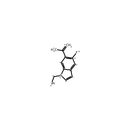 C=C(C)c1cc2c(ccn2CC(C)C)cc1F